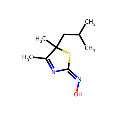 CC1=NC(=NO)SC1(C)CC(C)C